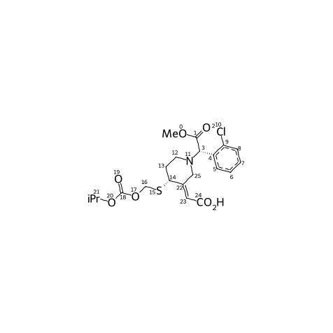 COC(=O)[C@H](c1ccccc1Cl)N1CC[C@@H](SCOC(=O)OC(C)C)/C(=C/C(=O)O)C1